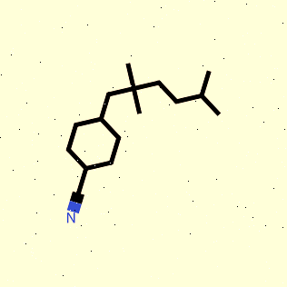 CC(C)CCC(C)(C)CC1CCC(C#N)CC1